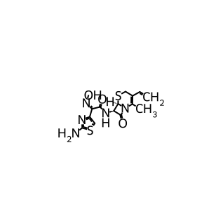 C=CC1=C(C)N2C(=O)[C@@H](NC(=O)/C(=N\O)c3csc(N)n3)[C@H]2SC1